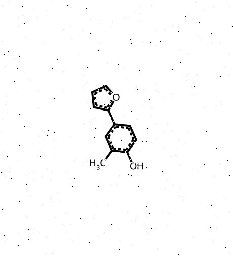 Cc1cc(-c2ccco2)ccc1O